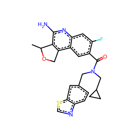 CC1OCc2c1c(N)nc1cc(F)c(C(=O)N(Cc3ccc4ncsc4c3)CC3CC3)cc21